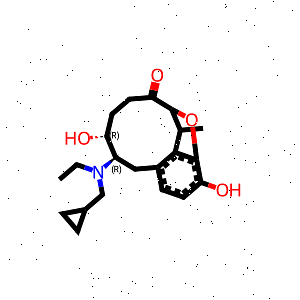 CCN(CC1CC1)[C@@H]1Cc2ccc(O)c3c2C(C)C(O3)C(=O)CC[C@H]1O